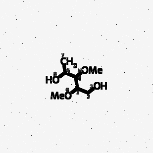 COC(CO)C(OC)C(C)O